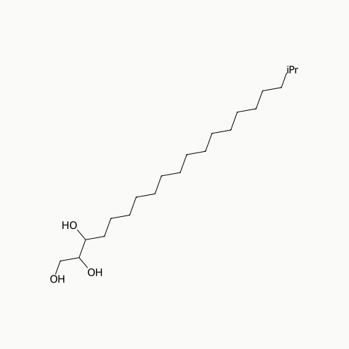 CC(C)CCCCCCCCCCCCCCCC(O)C(O)CO